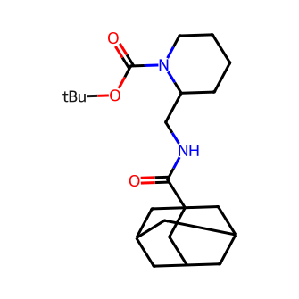 CC(C)(C)OC(=O)N1CCCCC1CNC(=O)C12CC3CC(CC(C3)C1)C2